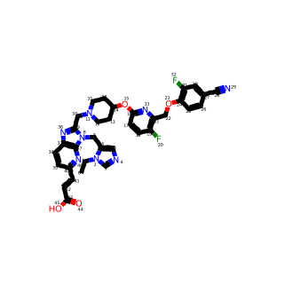 CCn1cncc1Cn1c(CN2CCC(Oc3ccc(F)c(COc4ccc(C#N)cc4F)n3)CC2)nc2ccc(/C=C/C(=O)O)nc21